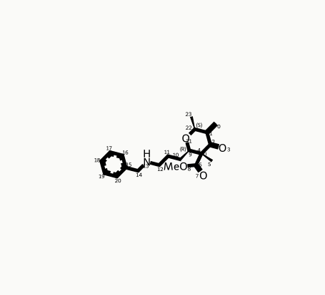 C=C1C(=O)[C@](C)(C(=O)OC)[C@@H](CCCNCc2ccccc2)O[C@H]1C